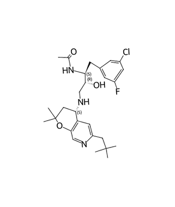 CC(=O)N[C@@H](Cc1cc(F)cc(Cl)c1)[C@H](O)CN[C@H]1CC(C)(C)Oc2cnc(CC(C)(C)C)cc21